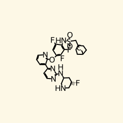 O=S(=O)(CC12CCC(CC1)CC2)Nc1c(F)cc(Oc2ncccc2-c2ccnc(NC3CNC[C@@H](F)C3)n2)c(F)c1F